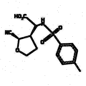 Cc1ccc(S(=O)(=O)NC(C(=O)O)[C@H]2CCO[C@H]2C#N)cc1